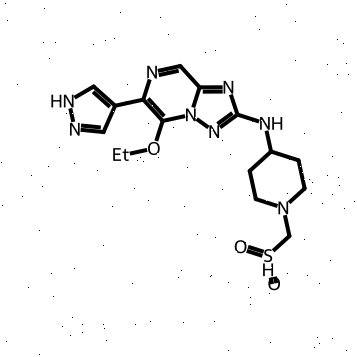 CCOc1c(-c2cn[nH]c2)ncc2nc(NC3CCN(C[SH](=O)=O)CC3)nn12